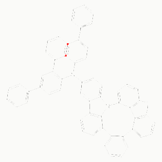 c1ccc(-c2ccc(N(c3ccc4c(c3)c3cccc5c6ccccc6c6cccc7sc8cccc(c8c76)n4c53)c3ccc(-c4ccccc4)cc3-c3ccccc3)cc2)cc1